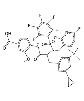 COc1cc(C(=O)O)ccc1NC(=O)C(Cc1cc(C2CC2)cc(C(C)(C)C)c1)N(Cc1ccc(F)nc1Cl)S(=O)(=O)c1c(F)c(F)c(F)c(F)c1F